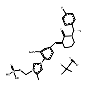 COc1cc(C=C2CCCN([C@@H](C)c3ccc(F)cc3)C2=O)ccc1-n1cc(C)[n+](COP(=O)(O)O)c1.O=C([O-])C(F)(F)F